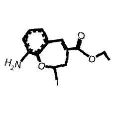 CCOC(=O)C1=Cc2cccc(N)c2OC(I)C1